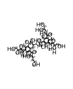 CN(CCCN(C)C(=O)c1c(I)c(NC(=O)C(O)CO)c(I)c(C(=O)N(O)CCCO)c1I)C(=O)c1c(I)c(NC(=O)C(O)CO)c(I)c(C(=O)NCC(O)CO)c1I